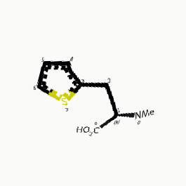 CN[C@H](Cc1cccs1)C(=O)O